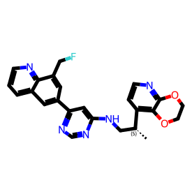 C[C@H](CNc1cc(-c2cc(CF)c3ncccc3c2)ncn1)c1ccnc2c1OCCO2